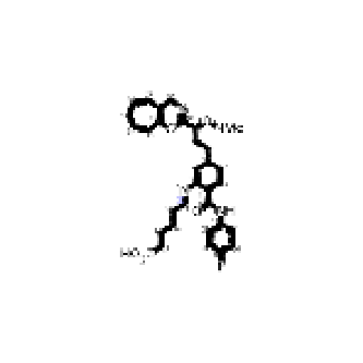 CNOC(CCC1C=C(/N=C/CCCCC(=O)O)C(C(=O)Nc2ccc(F)cc2)=CC1)C1=NCC2=C(C=CCC=C2)O1